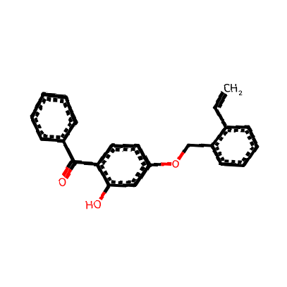 C=Cc1ccccc1COc1ccc(C(=O)c2ccccc2)c(O)c1